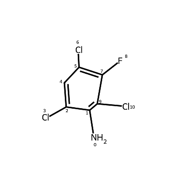 Nc1c(Cl)cc(Cl)c(F)c1Cl